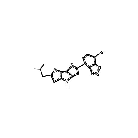 CC(C)Cc1cc2[nH]c3cc(-c4ccc(Br)c5nsnc45)sc3c2s1